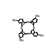 CC(C)(C)c1ccc2c(c1)-c1cc-2nc2[nH]c(nc3nc(nc4[nH]c(n1)c1ccc(C(C)(C)C)cc41)-c1ccc(C(C)(C)C)cc1-3)c1ccc(C(C)(C)C)cc21